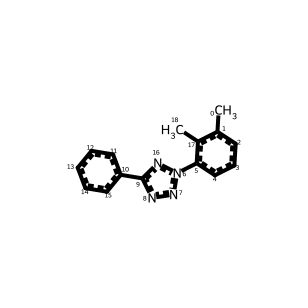 Cc1cccc(-n2nnc(-c3ccccc3)n2)c1C